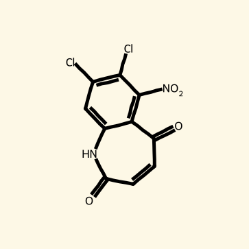 O=c1ccc(=O)c2c([N+](=O)[O-])c(Cl)c(Cl)cc2[nH]1